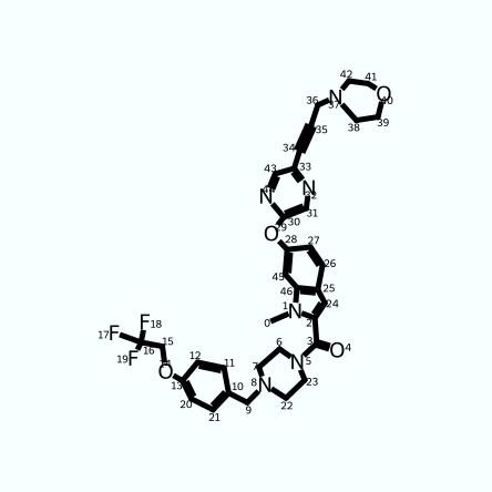 Cn1c(C(=O)N2CCN(Cc3ccc(OCC(F)(F)F)cc3)CC2)cc2ccc(Oc3cnc(C#CCN4CCOCC4)cn3)cc21